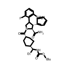 CCC(NC(=O)OC(C)(C)C)[C@H]1CC[C@H](C(=O)N2CC(c3c(F)cccc3C(=O)O)[C@H](c3ccccc3)[C@H]2C(N)=O)CC1